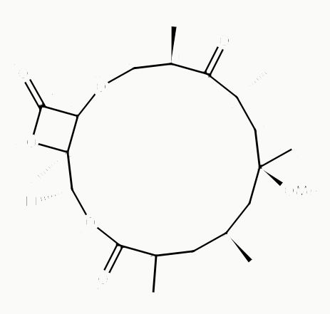 CC[C@H]1OC(=O)C(C)C[C@H](C)C[C@](C)(OC)C[C@@H](C)C(=O)[C@H](C)COC2C(=O)O[C@@]21C